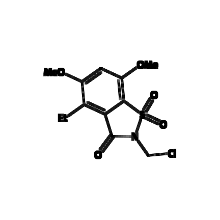 CCc1c(OC)cc(OC)c2c1C(=O)N(CCl)S2(=O)=O